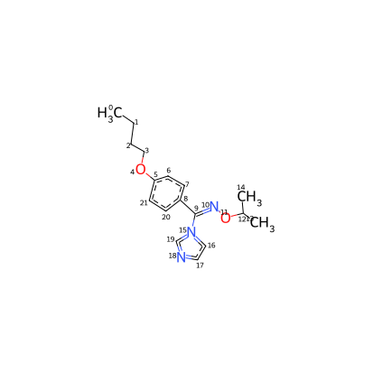 CCCCOc1ccc(C(=NOC(C)C)n2ccnc2)cc1